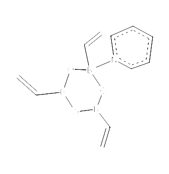 C=CB1OB(C=C)O[B-](C=C)([n+]2ccccc2)O1